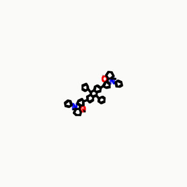 COC12CCCCC1(C)N(c1ccccc1)c1ccc(-c3ccc4c(-c5ccccc5)c5cc(-c6ccc7c(c6)C6(OC)CCCCC6(C)N7c6ccccc6)ccc5c(-c5ccccc5)c4c3)cc12